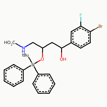 CC(C)(C)[Si](OC(CNC(=O)O)CC(O)c1ccc(Br)c(F)c1)(c1ccccc1)c1ccccc1